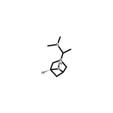 CC(N(C)C)N1CC2C[C@@H](C1)N2C(C)C